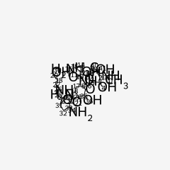 CN[C@@H]1[C@@H](O)[C@@H](O[C@H]2[C@H](NC(=O)C3(O)CC3N)C[C@H](N)C(O[C@H]3OC(CNCCCO)=CC[C@H]3N)[C@@H]2O)OC[C@]1(C)O